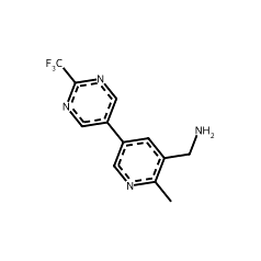 Cc1ncc(-c2cnc(C(F)(F)F)nc2)cc1CN